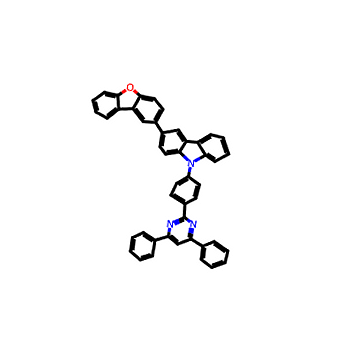 c1ccc(-c2cc(-c3ccccc3)nc(-c3ccc(-n4c5ccccc5c5cc(-c6ccc7oc8ccccc8c7c6)ccc54)cc3)n2)cc1